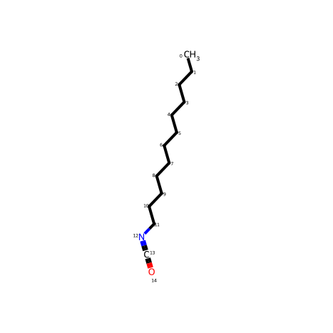 CCCCCCCCCCC[CH]N=C=O